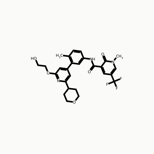 Cc1ccc(NC(=O)c2cc(C(F)(F)F)cn(C)c2=O)cc1-c1cc(OCCO)nc(C2CCOCC2)c1